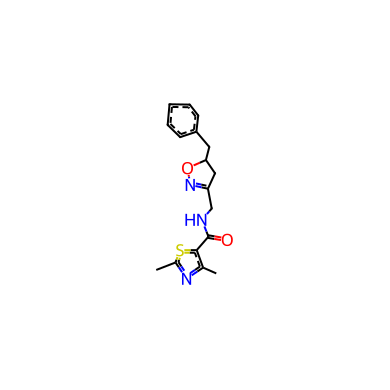 Cc1nc(C)c(C(=O)NCC2=NOC(Cc3ccccc3)C2)s1